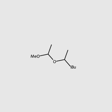 CCC(C)C(C)OC(C)OC